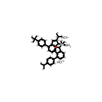 CC1=Cc2c(-c3ccc(C(C)C)cc3)cccc2[CH]1[Zr]([CH3])([CH3])(=[SiH2])[CH]1C(C(C)C)=Cc2c(-c3ccc(C(C)(C)C)cc3)cccc21.Cl.Cl